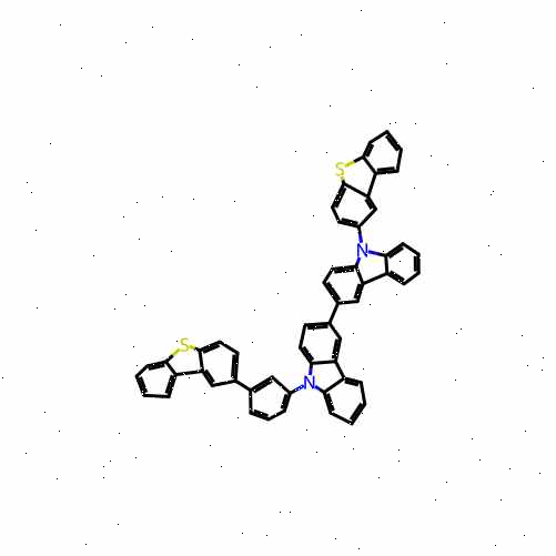 c1cc(-c2ccc3sc4ccccc4c3c2)cc(-n2c3ccccc3c3cc(-c4ccc5c(c4)c4ccccc4n5-c4ccc5sc6ccccc6c5c4)ccc32)c1